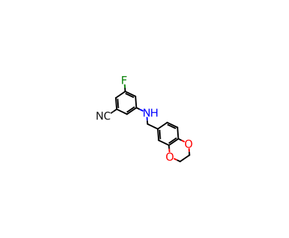 N#Cc1cc(F)cc(NCc2ccc3c(c2)OCCO3)c1